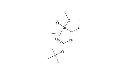 CCC(NC(=O)OC(C)(C)C)[Si](OC)(OC)OC